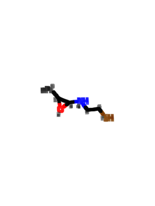 CCCC1OC1NCCS